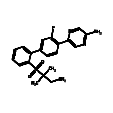 CC(C)(CN)S(=O)(=O)c1ccccc1-c1ccc(-c2cnc(N)cn2)c(F)c1